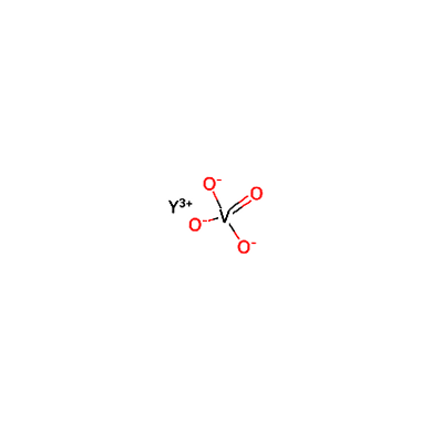 [O]=[V]([O-])([O-])[O-].[Y+3]